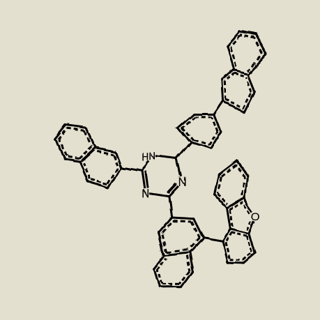 c1ccc2cc(C3=NC(c4cc(-c5cccc6oc7ccccc7c56)c5ccccc5c4)=NC(c4ccc(-c5ccc6ccccc6c5)cc4)N3)ccc2c1